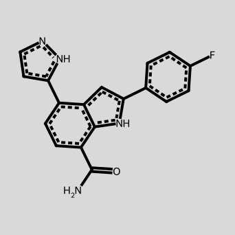 NC(=O)c1ccc(-c2ccn[nH]2)c2cc(-c3ccc(F)cc3)[nH]c12